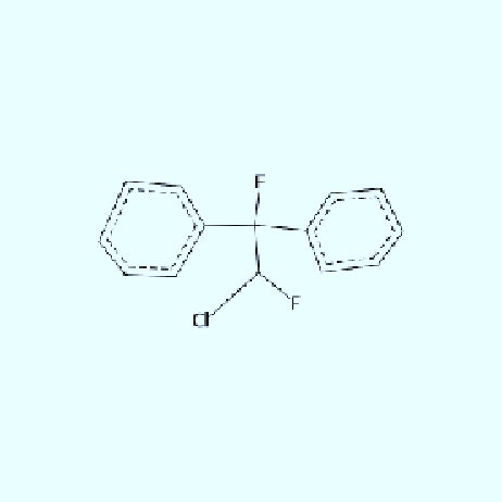 FC(Cl)C(F)(c1ccccc1)c1ccccc1